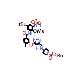 COc1c(NC(=O)c2ccc(C)c(Oc3cc(CNC4CCN(C(=O)OC(C)(C)C)CC4)ncn3)c2)cc(C(C)(C)C)cc1NS(C)(=O)=O